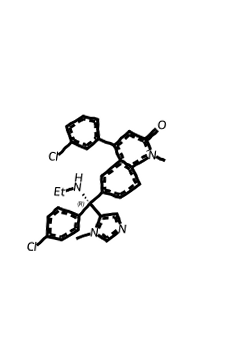 CCN[C@](c1ccc(Cl)cc1)(c1ccc2c(c1)c(-c1cccc(Cl)c1)cc(=O)n2C)c1cncn1C